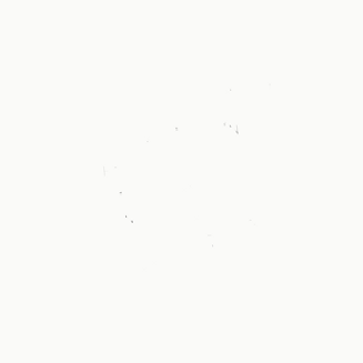 Cc1ccc(C)n1-c1ccc2c(c1)C(F)C(F)N=C2F.[B]